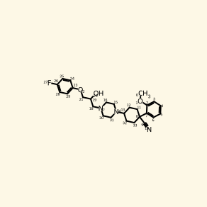 COc1ccccc1C1(C#N)CCC(N2CCN(CC(O)COc3ccc(F)cc3)CC2)CC1